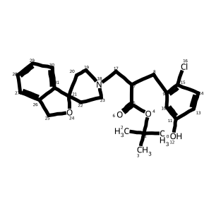 CC(C)(C)OC(=O)C(Cc1cc(O)ccc1Cl)CN1CCC2(CC1)OCc1ccccc12